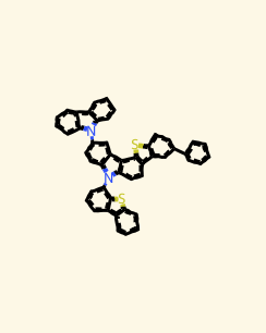 c1ccc(-c2ccc3sc4c(ccc5c4c4cc(-n6c7ccccc7c7ccccc76)ccc4n5-c4cccc5c4sc4ccccc45)c3c2)cc1